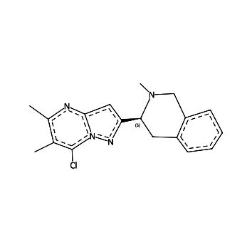 Cc1nc2cc([C@@H]3Cc4ccccc4CN3C)nn2c(Cl)c1C